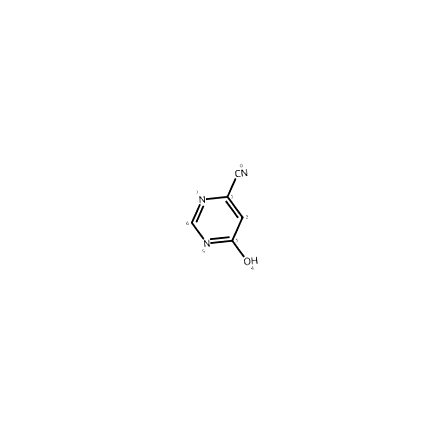 N#Cc1cc(O)ncn1